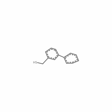 SCc1cccc(-c2ccccc2)c1